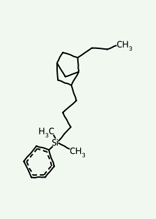 CCCC1CC2CC(CCC[Si](C)(C)c3ccccc3)C1C2